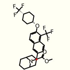 COC(=O)C1CC2CCCC(C1)N2Cc1ccc2c(C(F)(F)F)c(O[C@H]3CC[C@@H](C(F)(F)F)CC3)ccc2c1